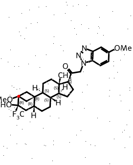 COCC[C@]12CC[C@](O)(C(F)(F)F)C[C@H]1CC[C@H]1[C@@H]3CC[C@H](C(=O)Cn4nnc5cc(OC)ccc54)[C@@]3(C)CC[C@@H]12